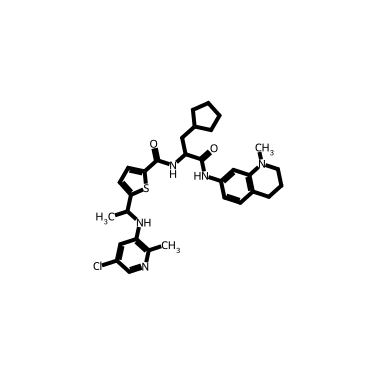 Cc1ncc(Cl)cc1NC(C)c1ccc(C(=O)NC(CC2CCCC2)C(=O)Nc2ccc3c(c2)N(C)CCC3)s1